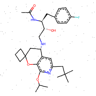 CC(=O)N[C@@H](Cc1ccc(F)cc1)[C@H](O)CN[C@H]1CC2(CCC2)Oc2c1cc(CC(C)(C)C)nc2OC(C)C